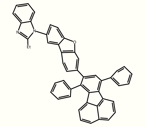 CCc1nc2ccccc2n1-c1ccc2oc3cc(-c4cc(-c5ccccc5)c5c(c4-c4ccccc4)-c4cccc6cccc-5c46)ccc3c2c1